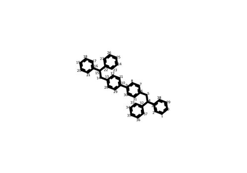 c1ccc(C(Cc2ccc(-c3ccc(CC(c4ccccc4)c4ccccc4)cc3)cc2)c2ccccc2)cc1